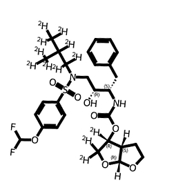 [2H]C([2H])([2H])C([2H])(C([2H])([2H])[2H])C([2H])([2H])N(C[C@@H](O)[C@H](Cc1ccccc1)NC(=O)O[C@]1([2H])[C@@H]2CCO[C@@H]2OC1([2H])[2H])S(=O)(=O)c1ccc(OC(F)F)cc1